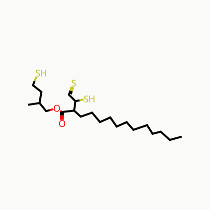 CCCCCCCCCCCCC(C(=O)OCC(C)CCS)C(S)C=S